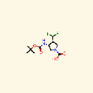 CC(C)(C)OC(=O)N[C@H]1CN(C(=O)O)C[C@@H]1C(F)F